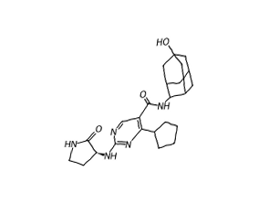 O=C(NC1C2CC3CC1CC(O)(C3)C2)c1cnc(N[C@H]2CCNC2=O)nc1C1CCCC1